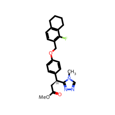 COC(=O)C[C@@H](c1ccc(OCc2ccc3c(c2F)CCCC3)cc1)c1nncn1C